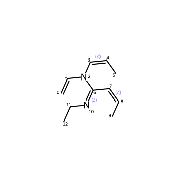 C=CN(/C=C\C)C(/C=C\C)=N\CC